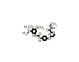 CONC(=O)c1nccc(Oc2ccc(NC(=O)Nc3cc(OC)c(OC)c(OC)c3)cc2)n1